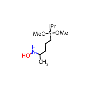 CO[Si](CCCC(C)NO)(OC)C(C)C